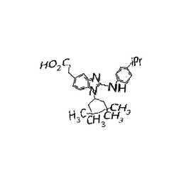 CC(C)c1ccc(Nc2nc3cc(CCC(=O)O)ccc3n2C2CC(C)(C)CC(C)(C)C2)cc1